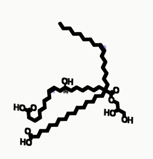 CCCCCCCC/C=C\CCCCCCC(CCCCCCCCCCCCCCCC(=O)O)(CCCCCC[C@@H](O)C/C=C\CCCCCCCC(=O)O)C(=O)OCC(O)CO